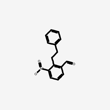 O=Cc1cccc([N+](=O)[O-])c1CCc1ccccc1